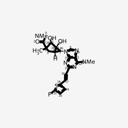 CNC(=O)C1(C)C[C@H]2[C@@H](n3cnc4c(NC)nc(C#Cc5ccc(F)s5)nc43)[C@@]2(O)[C@@H]1O